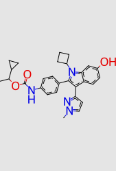 CC(OC(=O)Nc1ccc(-c2c(-c3ccn(C)n3)c3ccc(O)cc3n2C2CCC2)cc1)C1CC1